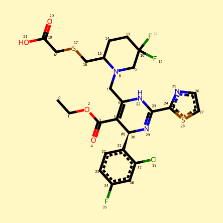 CCOC(=O)C1=C(CN2CC(F)(F)CCC2CSCC(=O)O)NC(c2nccs2)=N[C@H]1c1ccc(F)cc1Cl